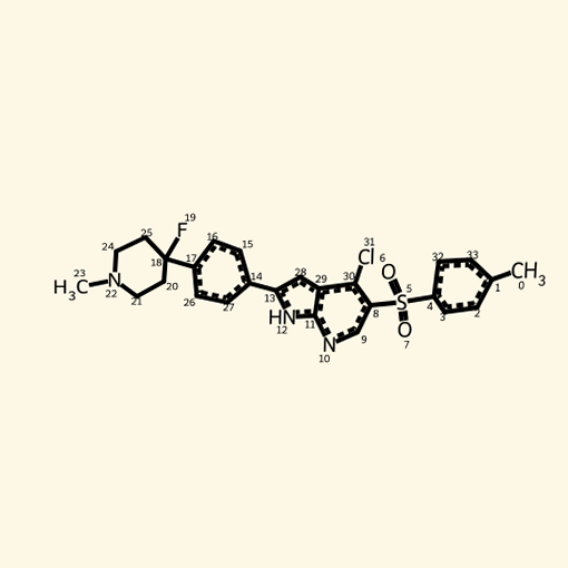 Cc1ccc(S(=O)(=O)c2cnc3[nH]c(-c4ccc(C5(F)CCN(C)CC5)cc4)cc3c2Cl)cc1